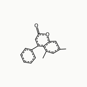 Cc1cc(C)c2c(-c3ccccc3)cc(=O)oc2c1